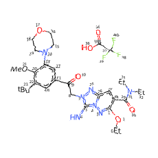 CCOc1nn2c(=N)n(CC(=O)c3cc(N4CCOCC4)c(OC)c(C(C)(C)C)c3)nc2cc1C(=O)N(CC)CC.O=C(O)C(F)(F)F